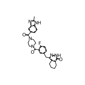 Cc1nc2cc(C(=O)N3CCN(C(=O)c4cc(Cc5n[nH]c(=O)c6c5CCCC6)ccc4F)CC3)ccc2[nH]1